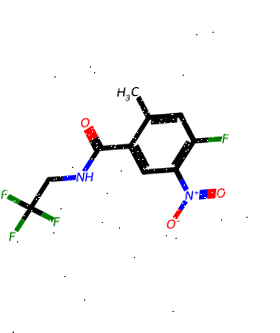 Cc1cc(F)c([N+](=O)[O-])cc1C(=O)NCC(F)(F)F